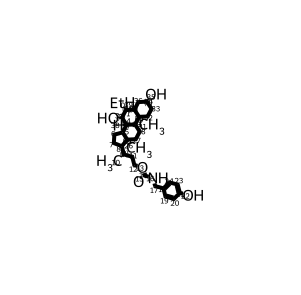 CC[C@H]1[C@@H](O)[C@H]2C3CCC([C@H](C)CCOC(=O)NCc4ccc(O)cc4)[C@@]3(C)CCC2[C@@]2(C)CC[C@@H](O)C[C@@H]12